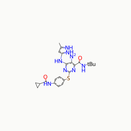 Cc1cc(Nc2nc(Sc3ccc(NC(=O)C4CC4)cc3)nc(C(=O)NC(C)(C)C)c2N)n[nH]1